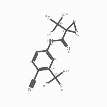 N#Cc1ccc(NC(=O)C2(C(F)(F)F)CO2)cc1C(F)(F)F